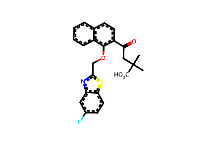 CC(C)(CC(=O)c1ccc2ccccc2c1OCc1nc2cc(F)ccc2s1)C(=O)O